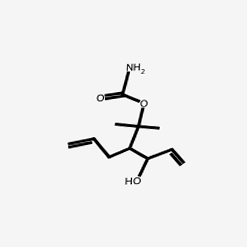 C=CCC(C(O)C=C)C(C)(C)OC(N)=O